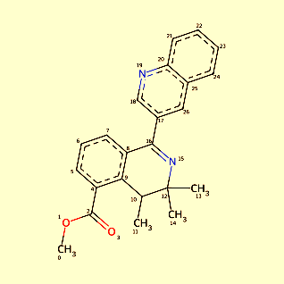 COC(=O)c1cccc2c1C(C)C(C)(C)N=C2c1cnc2ccccc2c1